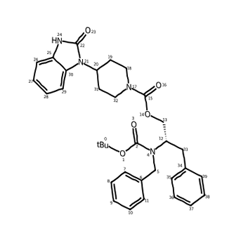 CC(C)(C)OC(=O)N(Cc1ccccc1)[C@H](COC(=O)N1CCC(n2c(=O)[nH]c3ccccc32)CC1)Cc1ccccc1